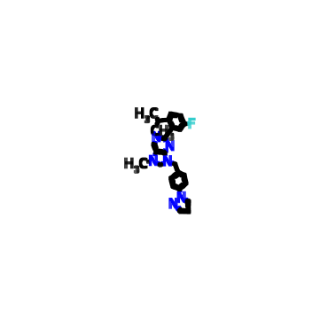 CC(C)c1ccc(F)cc1-c1ncc2c(n1)N(Cc1ccc(-n3cccn3)cc1)CN2C